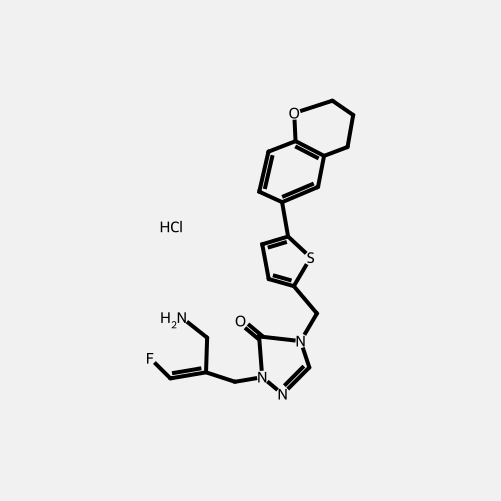 Cl.NC/C(=C\F)Cn1ncn(Cc2ccc(-c3ccc4c(c3)CCCO4)s2)c1=O